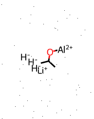 CC(C)[O][Al+2].[H-].[H-].[H-].[Li+]